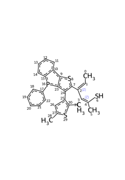 C/C=C(/C=C(/C)S)c1sc2c3ccccc3p(-c3ccccc3)c2c1-c1cc(C)sc1C